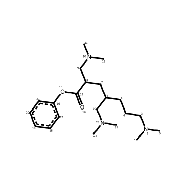 CN(C)CCCC(CC(CN(C)C)C(=O)Oc1ccccc1)CN(C)C